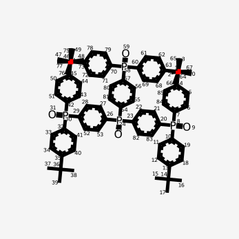 CC(C)(C)c1ccc(P(=O)(c2ccc(C(C)(C)C)cc2)c2ccc(P(=O)(c3ccc(P(=O)(c4ccc(C(C)(C)C)cc4)c4ccc(C(C)(C)C)cc4)cc3)c3ccc(P(=O)(c4ccc(C(C)(C)C)cc4)c4ccc(C(C)(C)C)cc4)cc3)cc2)cc1